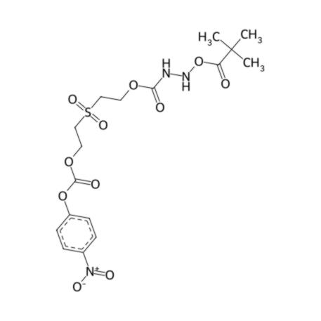 CC(C)(C)C(=O)ONNC(=O)OCCS(=O)(=O)CCOC(=O)Oc1ccc([N+](=O)[O-])cc1